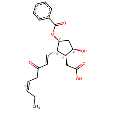 CC/C=C\CC(=O)C=C[C@H]1[C@H](CC(=O)O)[C@H](O)C[C@@H]1OC(=O)c1ccccc1